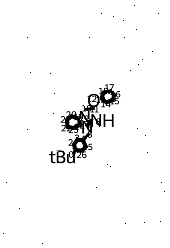 CC(C)(C)c1ccc(Cn2c(=N)n(CCOc3ccccc3)c3ccccc32)cc1